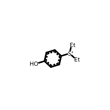 CC[S+](CC)c1ccc(O)cc1